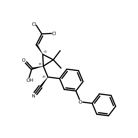 CC1(C)[C@H](C=C(Cl)Cl)[C@@]1(C(=O)O)[C@H](C#N)c1cccc(Oc2ccccc2)c1